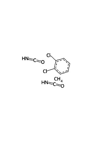 C.Clc1ccccc1Cl.N=C=O.N=C=O